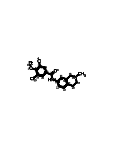 CCOc1c(Cl)cc(C(=O)Nc2ccc3c(c2)CN(C)CC3)cc1Cl